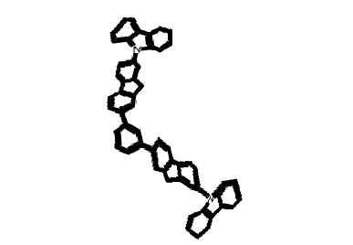 C1=Cc2c(c3ccccc3n2-c2ccc3c(c2)Cc2cc(-c4cccc(-c5ccc6c(c5)Cc5cc(-n7c8c(c9ccccc97)CCC=C8)ccc5-6)c4)ccc2-3)CC1